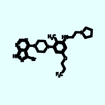 Cc1c(NCCN2CCCC2)cc(OCCC(F)(F)F)cc1N1CCN(c2ncnc3[nH]nc(Br)c23)CC1